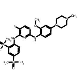 COc1cc(N2CCN(C)CC2)ccc1Nc1ncc(F)c(Nc2ccc(P(C)(C)=O)cc2P(C)(C)=O)n1